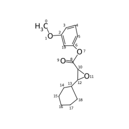 COc1cccc(OC(=O)C2OC2C2CCCCC2)c1